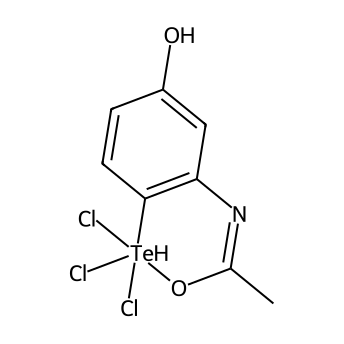 CC1=Nc2cc(O)ccc2[TeH](Cl)(Cl)(Cl)O1